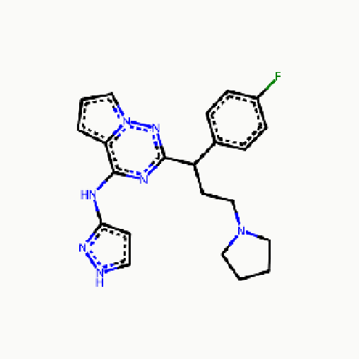 Fc1ccc(C(CCN2CCCC2)c2nc(Nc3cc[nH]n3)c3cccn3n2)cc1